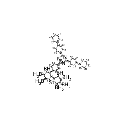 Bc1c(B)c(B)c2c(sc3c(B)c(B)c(B)c(-c4ccc(-c5nc(-c6ccc(-c7ccccc7)cc6)nc(-c6ccc(-c7ccccc7)cc6)n5)cc4)c32)c1B